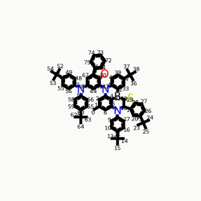 Cc1cc2c3c(c1)N(c1ccc(C(C)(C)C)cc1)C1c4cc(C(C)(C)C)ccc4SC1B3c1cc(C(C)(C)C)ccc1N2c1cc(N(c2ccc(C(C)(C)C)cc2)c2ccc(C(C)(C)C)cc2)cc2c1oc1ccccc12